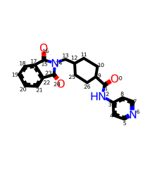 O=C(Nc1ccncc1)C1CCC(CN2C(=O)c3ccccc3C2=O)CC1